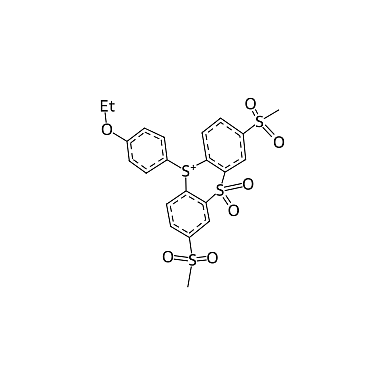 CCOc1ccc([S+]2c3ccc(S(C)(=O)=O)cc3S(=O)(=O)c3cc(S(C)(=O)=O)ccc32)cc1